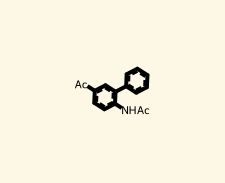 CC(=O)Nc1ccc(C(C)=O)cc1-c1ccccc1